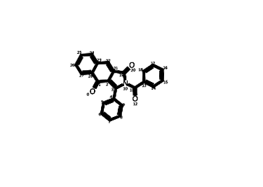 O=C1C2=C(c3ccccc3)N(C(=O)c3ccccc3)C(=O)C2=Cc2ccccc21